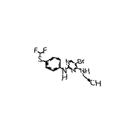 C#CCNc1nc(Nc2ccc(SC(F)F)cc2)ncc1Br